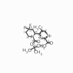 Cc1cnc(C(=O)O)nc1C1CC(F)(F)CCN1C(=O)OC(C)(C)C